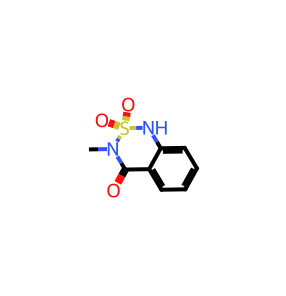 CN1C(=O)c2ccccc2NS1(=O)=O